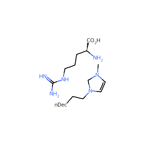 CCCCCCCCCCCCN1C=CN(C)C1.N=C(N)NCCC[C@H](N)C(=O)O